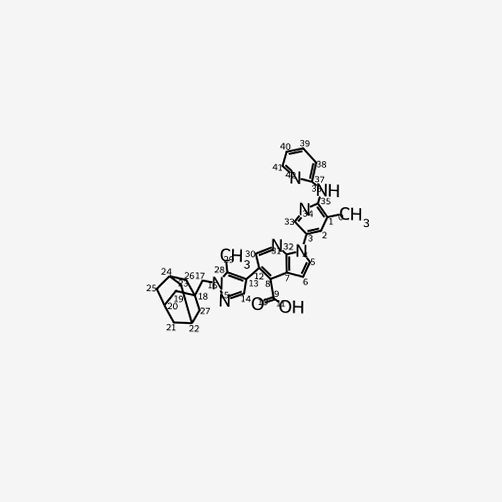 Cc1cc(-n2ccc3c(C(=O)O)c(-c4cnn(CC56CC7CC(CC(C7)C5)C6)c4C)cnc32)cnc1Nc1ccccn1